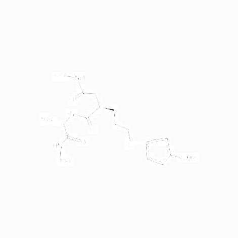 COc1ccc(OCCC[C@H](CC(=O)NO)C(=O)N[C@H](C(=O)NC(C)(C)C)C(C)(C)C)cc1